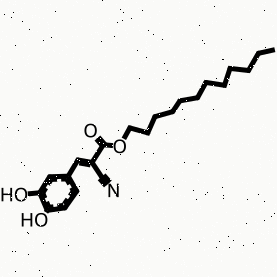 CCCCCCCCCCCCOC(=O)/C(C#N)=C/c1ccc(O)c(O)c1